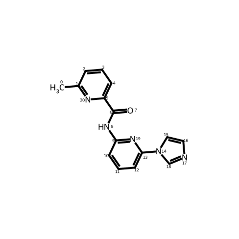 Cc1cccc(C(=O)Nc2cccc(-n3ccnc3)n2)n1